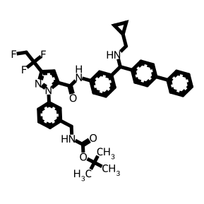 CC(C)(C)OC(=O)NCc1cccc(-n2nc(C(F)(F)CF)cc2C(=O)Nc2cccc(C(NCC3CC3)c3ccc(-c4ccccc4)cc3)c2)c1